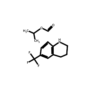 CC(C)OC=O.FC(F)(F)c1ccc2c(c1)CCCN2